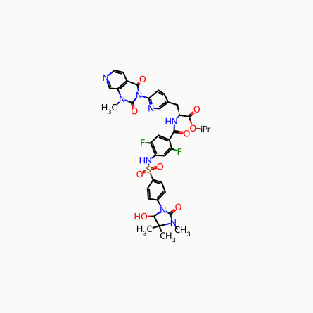 CC(C)OC(=O)[C@H](Cc1ccc(-n2c(=O)c3ccncc3n(C)c2=O)nc1)NC(=O)c1cc(F)c(NS(=O)(=O)c2ccc(N3C(=O)N(C)C(C)(C)C3O)cc2)cc1F